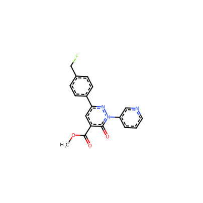 COC(=O)c1cc(-c2ccc(CF)cc2)nn(-c2cccnc2)c1=O